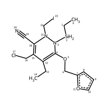 CC[SiH2]N1C(OCc2ccco2)=C(CC)C(CCl)=C(C#N)N1CI